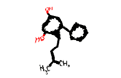 CC(C)=CCc1c(O)cc(O)cc1-c1ccccc1